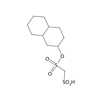 O=S(=O)(O)CS(=O)(=O)OC1CCC2CCCCC2C1